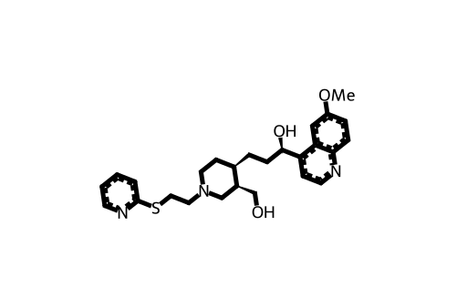 COc1ccc2nccc([C@H](O)CC[C@@H]3CCN(CCSc4ccccn4)C[C@@H]3CO)c2c1